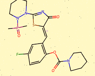 CP(C)(=O)N1CCCCN1C1=NC(=O)/C(=C/c2cc(F)ccc2OC(=O)N2CCCCC2)S1